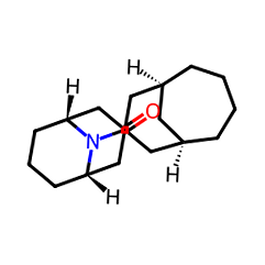 O=C1C[C@H]2CCC[C@@H](C1)N2C1C[C@H]2CCCC[C@@H](C1)C2